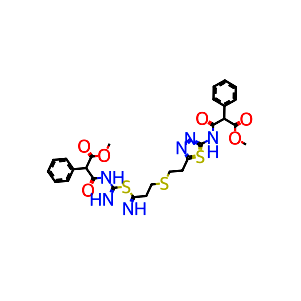 COC(=O)C(C(=O)NC(=N)SC(=N)CCSCCc1nnc(NC(=O)C(C(=O)OC)c2ccccc2)s1)c1ccccc1